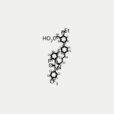 CCOc1ccc(-c2ccc(CCCc3nn(-c4ccc(C(F)(F)F)cc4)c(=O)n3-c3cc(F)ccc3F)cc2)cc1CC(=O)O